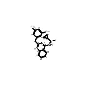 C[C@@H](Nc1nc(Cc2cc(F)cc(F)c2)nc2ccccc12)C1CC1